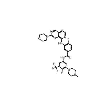 CN1CCN(c2cc(NC(=O)c3ccc(F)c(Nc4ncnc5cnc(N6CCOCC6)nc45)c3)cc(C(F)(F)F)c2F)CC1